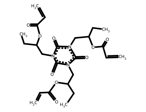 C=CC(=O)OC(CC)Cn1c(=O)n(CC(CC)OC(=O)C=C)c(=O)n(CC(CC)OC(=O)C=C)c1=O